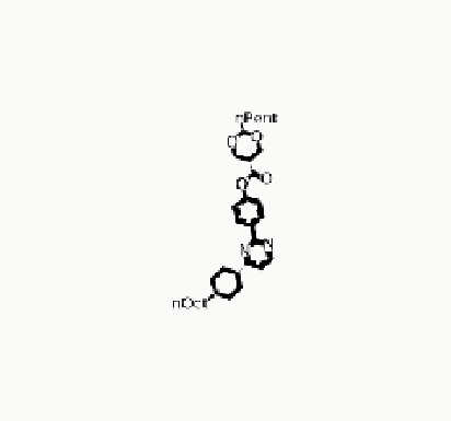 CCCCCCCC[C@H]1CC[C@H](c2ccnc(-c3ccc(OC(=O)[C@H]4CO[C@H](CCCCC)OC4)cc3)n2)CC1